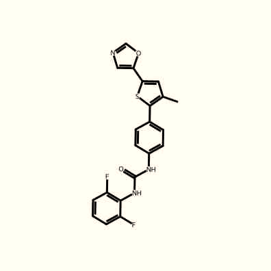 Cc1cc(-c2cnco2)sc1-c1ccc(NC(=O)Nc2c(F)cccc2F)cc1